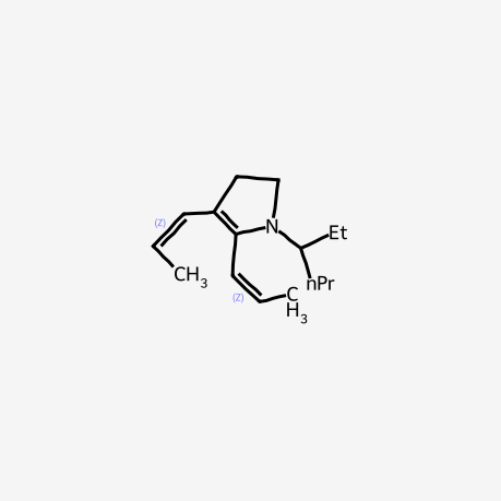 C/C=C\C1=C(/C=C\C)N(C(CC)CCC)CC1